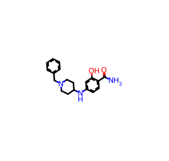 NC(=O)c1ccc(NC2CCN(Cc3ccccc3)CC2)cc1O